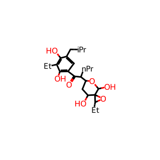 CCCC(C(=O)c1cc(CC(C)C)c(O)c(CC)c1O)C1CC(O)C2(OC2CC)C(O)O1